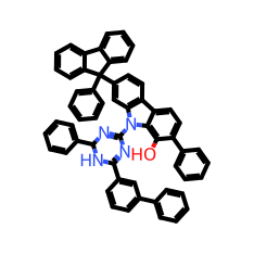 Oc1c(-c2ccccc2)ccc2c3ccc(C4(c5ccccc5)c5ccccc5-c5ccccc54)cc3n(C3=NC(c4ccccc4)NC(c4cccc(-c5ccccc5)c4)=N3)c12